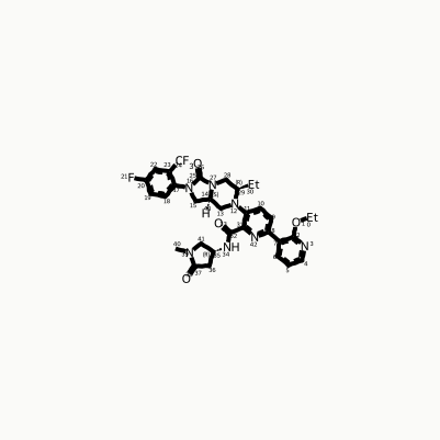 CCOc1ncccc1-c1ccc(N2C[C@H]3CN(c4ccc(F)cc4C(F)(F)F)C(=O)N3C[C@H]2CC)c(C(=O)N[C@@H]2CC(=O)N(C)C2)n1